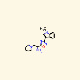 Cn1cc(-c2noc(C(N)CN3CCCCC3)n2)c2ccccc21